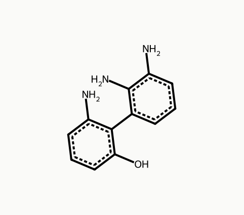 Nc1cccc(-c2c(N)cccc2O)c1N